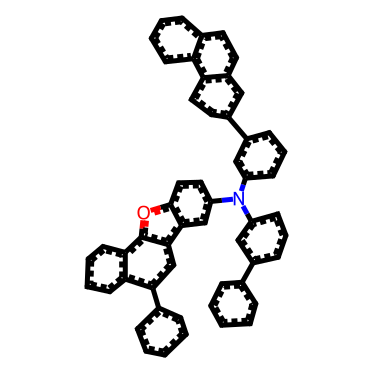 c1ccc(-c2cccc(N(c3cccc(-c4ccc5c(ccc6ccccc65)c4)c3)c3ccc4oc5c6ccccc6c(-c6ccccc6)cc5c4c3)c2)cc1